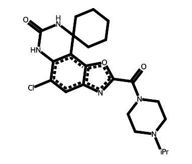 CC(C)N1CCN(C(=O)c2nc3cc(Cl)c4c(c3o2)C2(CCCCC2)NC(=O)N4)CC1